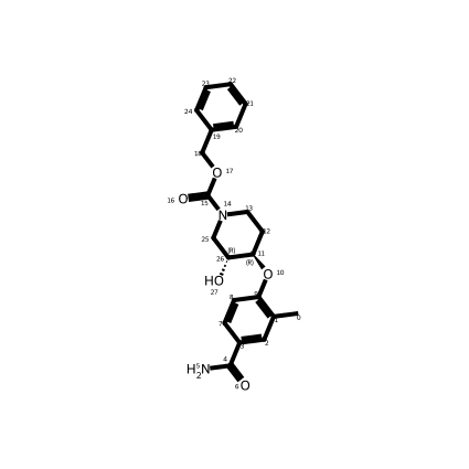 Cc1cc(C(N)=O)ccc1O[C@@H]1CCN(C(=O)OCc2ccccc2)C[C@H]1O